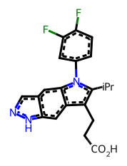 CC(C)c1c(CCC(=O)O)c2cc3[nH]ncc3cc2n1-c1ccc(F)c(F)c1